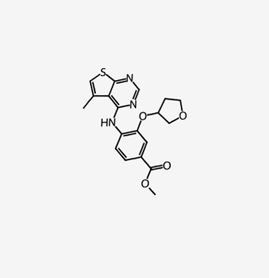 COC(=O)c1ccc(Nc2ncnc3scc(C)c23)c(OC2CCOC2)c1